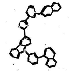 c1cc(-c2ccc3ccccc3c2)cc(-c2nc(-c3ccc4c(c3)c3ccccc3n4-c3cccc(-c4cccc5ccccc45)c3)ns2)c1